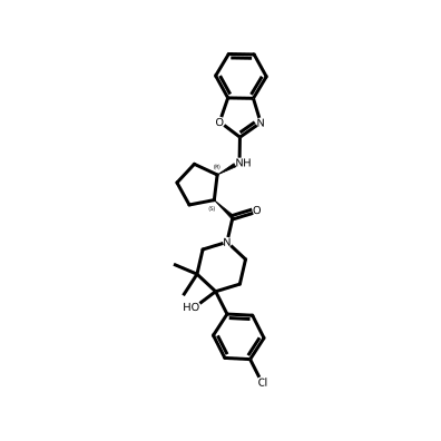 CC1(C)CN(C(=O)[C@H]2CCC[C@H]2Nc2nc3ccccc3o2)CCC1(O)c1ccc(Cl)cc1